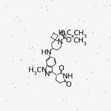 Cn1nc(C2CCC(=O)NC2=O)c2ccc(NC3CCN(C(=O)OC(C)(C)C)C4(CCC4)C3)cc21